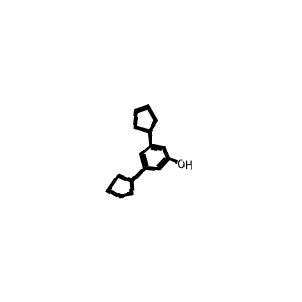 Oc1cc(C2CCCC2)cc(C2CCCC2)c1